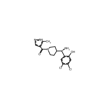 Cc1[nH]ncc1C(=O)N1CCC([C@@H](N)c2cc(Cl)c(Cl)cc2O)CC1